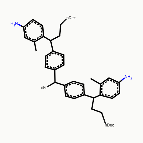 CCCCCCCCCCCCC(c1ccc(C(CCC)c2ccc(C(CCCCCCCCCCCC)c3ccc(N)cc3C)cc2)cc1)c1ccc(N)cc1C